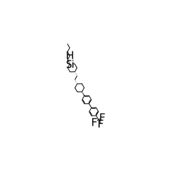 CCCCC[Si@H]1CC[C@H](CC[C@H]2CC[C@H](c3ccc(-c4ccc(C(F)(F)F)cc4)cc3)CC2)CC1